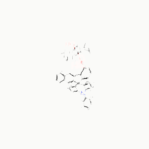 CC(C)(O)C(C)(C)OBc1cccc2c1-c1cc3ccccc3cc1C21c2ccccc2N(c2ccccc2)c2ccccc21